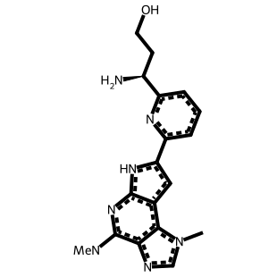 CNc1nc2[nH]c(-c3cccc([C@@H](N)CCO)n3)cc2c2c1ncn2C